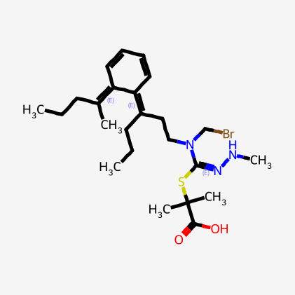 CCC/C(C)=c1\cccc\c1=C(\CCC)CCN(CBr)/C(=N\NC)SC(C)(C)C(=O)O